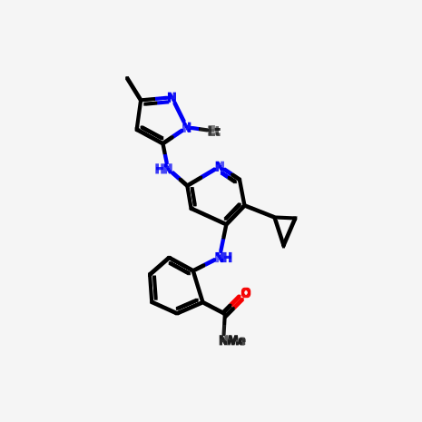 CCn1nc(C)cc1Nc1cc(Nc2ccccc2C(=O)NC)c(C2CC2)cn1